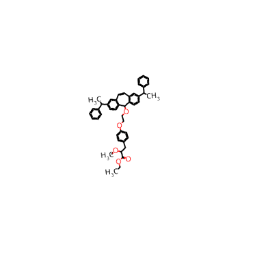 CCOC(=O)C(Cc1ccc(OCCOC2c3ccc(C(C)c4ccccc4)cc3C=Cc3cc(C(C)c4ccccc4)ccc32)cc1)OC